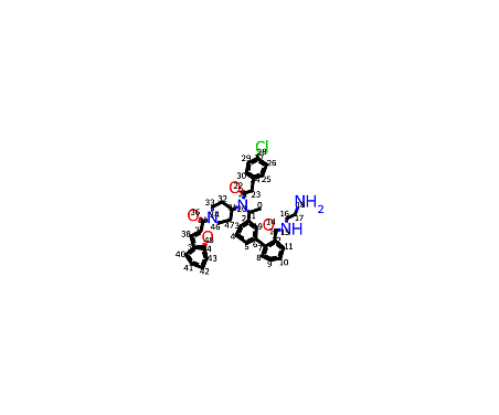 CC(c1cccc(-c2ccccc2C(=O)NCCN)c1)N(C(=O)Cc1ccc(Cl)cc1)C1CCN(C(=O)c2cc3ccccc3o2)CC1